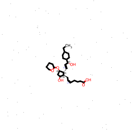 CCC1CCC([C@H](O)/C=C/[C@@H]2[C@@H](C/C=C\CCCC(=O)O)[C@@H](O)C[C@H]2OC2CCCCO2)CC1